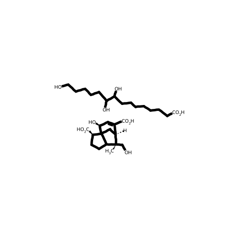 C[C@]1(CO)C2CC[C@@H](C(=O)O)C23C[C@H]1C(C(=O)O)=C[C@@H]3O.O=C(O)CCCCCCCC(O)C(O)CCCCCO